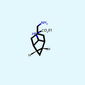 CCOC(=O)NC1C2CC(CN)CC1[C@@H]1C[C@H]21